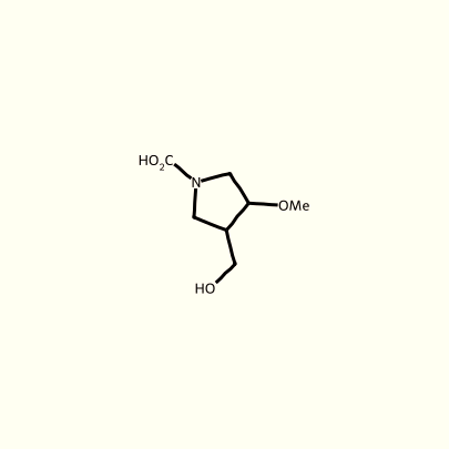 COC1CN(C(=O)O)CC1CO